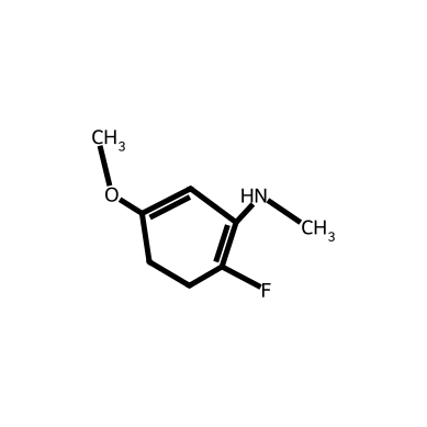 CNC1=C(F)CCC(OC)=C1